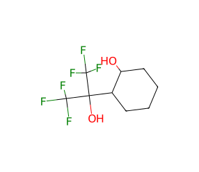 OC1CCCCC1C(O)(C(F)(F)F)C(F)(F)F